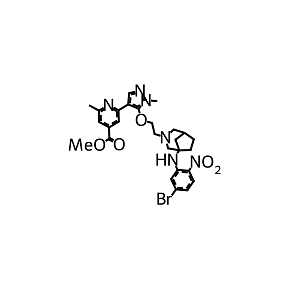 COC(=O)c1cc(C)nc(-c2cnn(C)c2OCCN2CC3CCC(Nc4cc(Br)ccc4[N+](=O)[O-])(C3)C2)c1